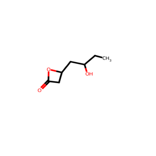 CCC(O)CC1CC(=O)O1